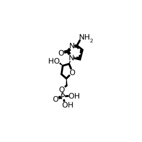 Nc1ccn([C@@H]2O[C@@H](COP(=O)(O)O)C[C@H]2O)c(=O)n1